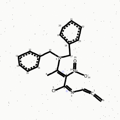 C=C=C/N=C(Cl)\C(=C(/C)N(Cc1ccccc1)Cc1ccccc1)[N+](=O)[O-]